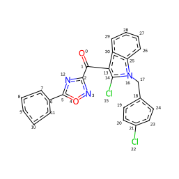 O=C(c1noc(-c2ccccc2)n1)c1c(Cl)n(Cc2ccc(Cl)cc2)c2ccccc12